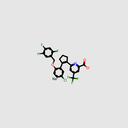 O=C([O-])c1cc(C(F)(F)F)cc(C2=C(c3cc(Cl)ccc3OCc3cc(F)c(F)cc3F)CCC2)n1.[Na+]